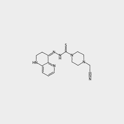 N#CCN1CCN(C(=S)N/N=C2/CCNc3cccnc32)CC1